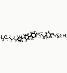 CCCCCCc1cnc(-c2ccc(-c3ccc(OCCCC4CCC(CCCCC)CC4)cc3)cc2)nc1